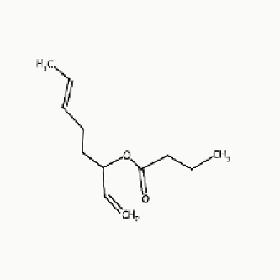 C=CC(CC/C=C/C)OC(=O)CCC